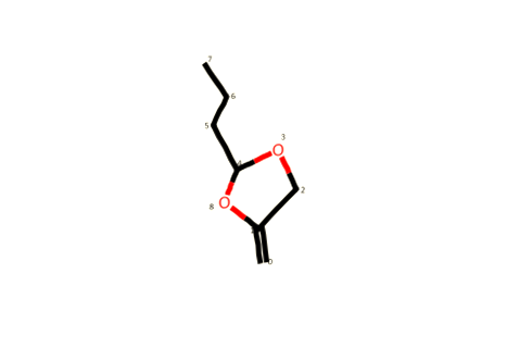 C=C1COC(CCC)O1